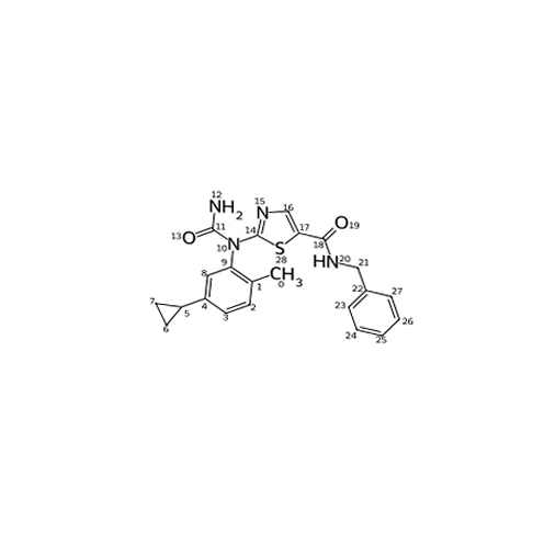 Cc1ccc(C2CC2)cc1N(C(N)=O)c1ncc(C(=O)NCc2ccccc2)s1